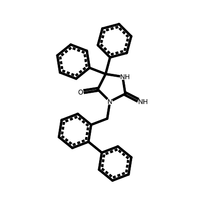 N=C1NC(c2ccccc2)(c2ccccc2)C(=O)N1Cc1ccccc1-c1ccccc1